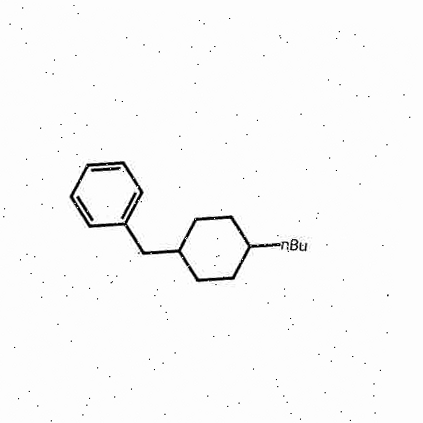 CCCCC1CCC([CH]c2ccccc2)CC1